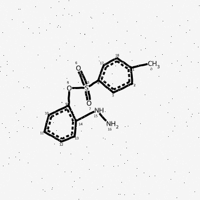 Cc1ccc(S(=O)(=O)Oc2ccccc2NN)cc1